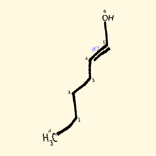 CCCC/C=C/O